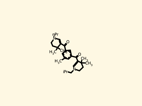 CCCN1C=C(C(=O)c2cc(C)cc(C(=O)C3=CN(CC(C)C)CCC3(C)C)c2)C(C)(C)CC1